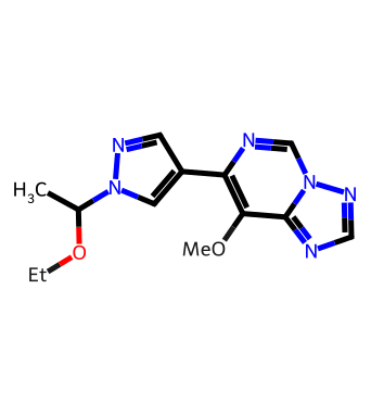 CCOC(C)n1cc(-c2ncn3ncnc3c2OC)cn1